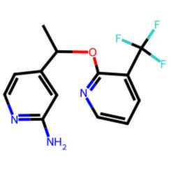 CC(Oc1ncccc1C(F)(F)F)c1ccnc(N)c1